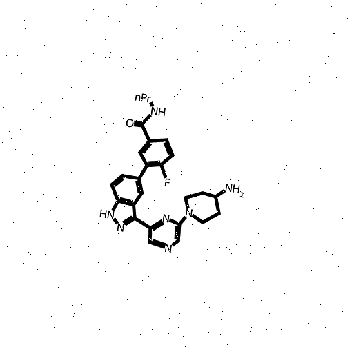 CCCNC(=O)c1ccc(F)c(-c2ccc3[nH]nc(-c4cncc(N5CCC(N)CC5)n4)c3c2)c1